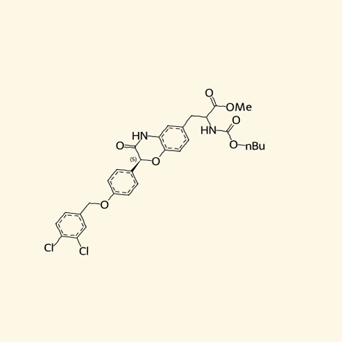 CCCCOC(=O)NC(Cc1ccc2c(c1)NC(=O)[C@H](c1ccc(OCc3ccc(Cl)c(Cl)c3)cc1)O2)C(=O)OC